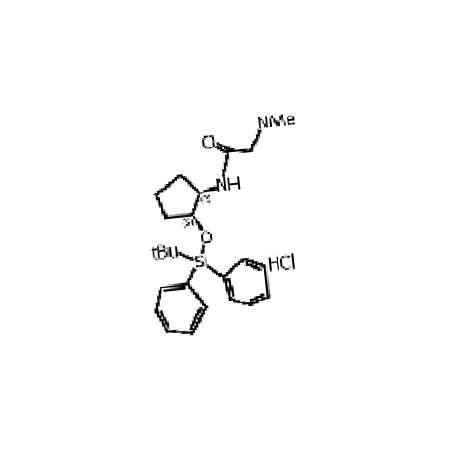 CNCC(=O)N[C@@H]1CCC[C@@H]1O[Si](c1ccccc1)(c1ccccc1)C(C)(C)C.Cl